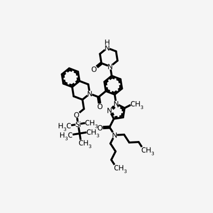 CCCCN(CCCC)C(=O)c1cc(C)n(-c2ccc(N3CCNCC3=O)cc2C(=O)N2Cc3ccccc3CC2CO[Si](C)(C)C(C)(C)C)n1